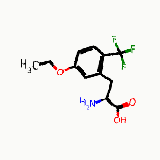 CCOc1ccc(C(F)(F)F)c(C[C@H](N)C(=O)O)c1